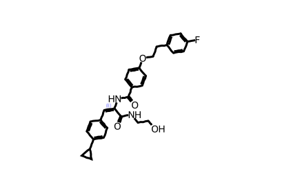 O=C(NCCO)/C(=C\c1ccc(C2CC2)cc1)NC(=O)c1ccc(OCCc2ccc(F)cc2)cc1